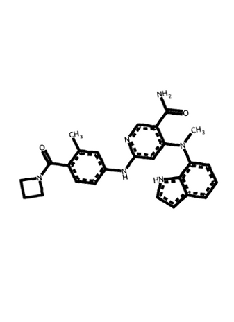 Cc1cc(Nc2cc(N(C)c3cccc4cc[nH]c34)c(C(N)=O)cn2)ccc1C(=O)N1CCC1